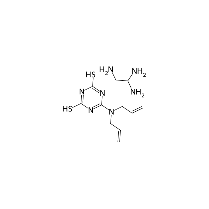 C=CCN(CC=C)c1nc(S)nc(S)n1.NCC(N)N